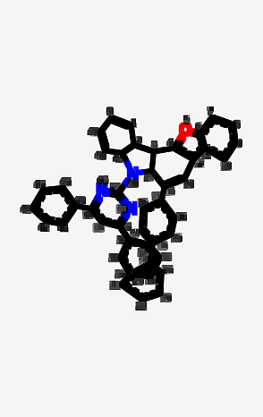 C1=CC2C3c4oc5ccccc5c4C=C(c4ccc(-c5ccccc5)cc4)C3N(c3nc(-c4ccccc4)cc(-c4ccccc4)n3)C2C=C1